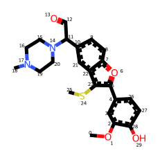 COc1cc(-c2oc3ccc(C(C=O)N4CCN(C)CC4)cc3c2SC)ccc1O